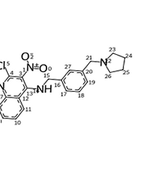 O=[N+]([O-])c1c(Cl)nc2ccccc2c1NCc1cccc(CN2CCCC2)c1